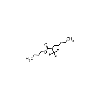 CCCCCC(C(=O)OCCCC)C(F)(F)F